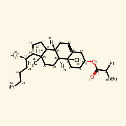 CCCCC(CC)C(=O)O[C@H]1CC[C@@]2(C)C(=CC[C@H]3[C@@H]4CC[C@H]([C@H](C)CCCC(C)C)[C@@]4(C)CC[C@@H]32)C1